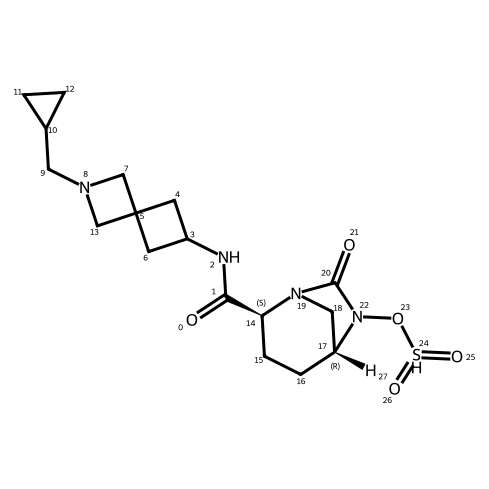 O=C(NC1CC2(C1)CN(CC1CC1)C2)[C@@H]1CC[C@@H]2CN1C(=O)N2O[SH](=O)=O